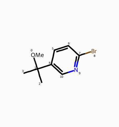 COC(C)(C)c1ccc(Br)nc1